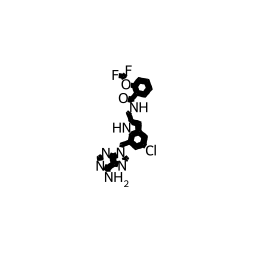 Nc1ncnc2c1ncn2Cc1cc(Cl)cc2cc(CNC(=O)c3ccccc3OC(F)F)[nH]c12